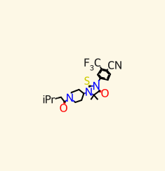 CC(C)CC(=O)N1CCC(N2C(=S)N(c3ccc(C#N)c(C(F)(F)F)c3)C(=O)C2(C)C)CC1